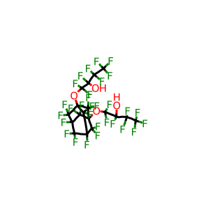 OC(F)(C(F)(F)OC12C(F)(F)C3(F)C(F)(F)C(F)(C1(F)F)C(F)(F)C(OC(F)(F)C(O)(F)C(F)(F)C(F)(F)F)(C3(F)F)C2(F)F)C(F)(F)C(F)(F)F